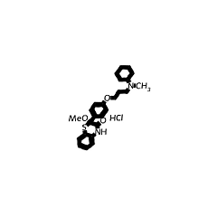 COC1(c2ccc(OCCCN(C)C3CCCCC3)cc2)Sc2ccccc2NC1=O.Cl